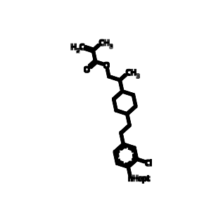 C=C(C)C(=O)OCC(C)C1CCC(CCc2ccc(CCCCCCC)c(Cl)c2)CC1